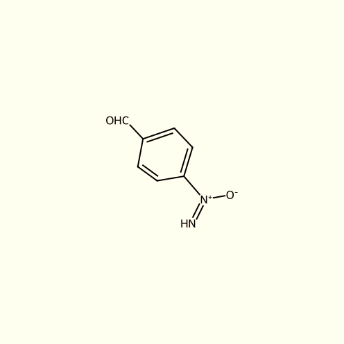 N=[N+]([O-])c1ccc(C=O)cc1